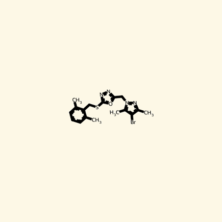 Cc1cccc(C)c1CSc1nnc(Cn2nc(C)c(Br)c2C)o1